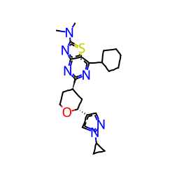 CN(C)c1nc2nc([C@@H]3CCO[C@@H](c4cnn(C5CC5)c4)C3)nc(C3CCCCC3)c2s1